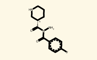 NN(C(=O)c1ccc(F)cc1)C(=O)[C@H]1CCCNC1